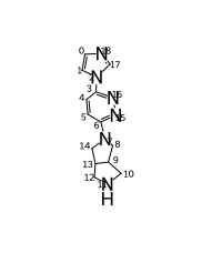 c1cn(-c2ccc(N3CC4CNCC4C3)nn2)cn1